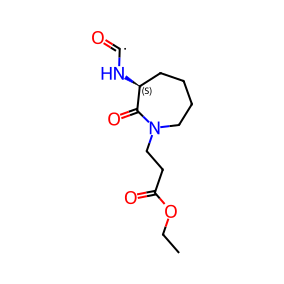 CCOC(=O)CCN1CCCC[C@H](N[C]=O)C1=O